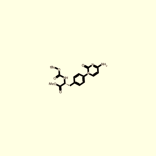 COC(=O)[C@@H](Cc1ccc(-n2ccc(N)nc2=O)cc1)NC(=O)OC(C)(C)C